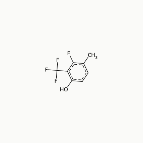 Cc1ccc(O)c(C(F)(F)F)c1F